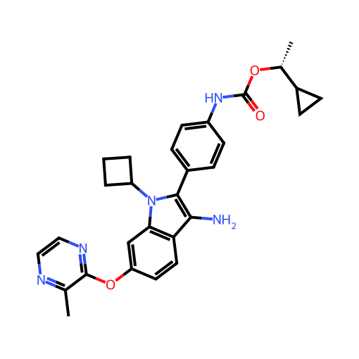 Cc1nccnc1Oc1ccc2c(N)c(-c3ccc(NC(=O)O[C@H](C)C4CC4)cc3)n(C3CCC3)c2c1